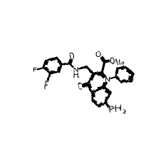 COC(=O)c1c(CNC(=O)c2ccc(F)c(F)c2)c(=O)c2ccc(P)cc2n1-c1ccccc1